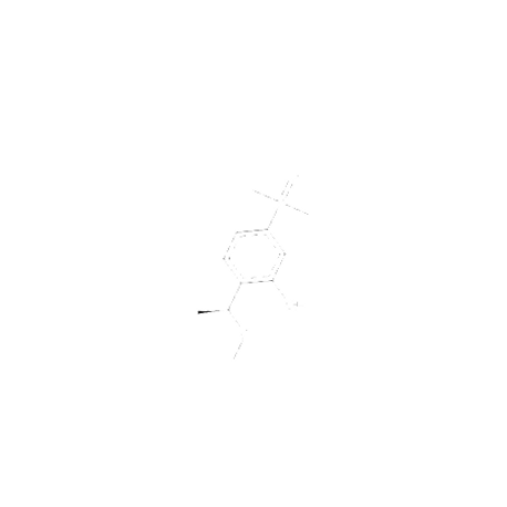 CO[C@@H](C)c1ccc(P(C)(C)=O)cc1O